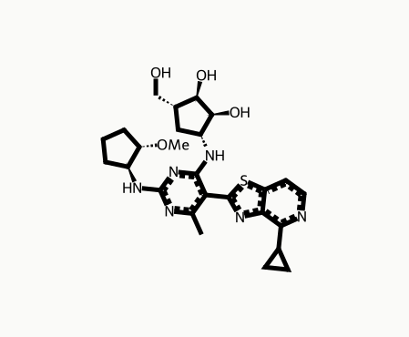 CO[C@H]1CCC[C@@H]1Nc1nc(C)c(-c2nc3c(C4CC4)nccc3s2)c(N[C@@H]2C[C@H](CO)[C@@H](O)[C@H]2O)n1